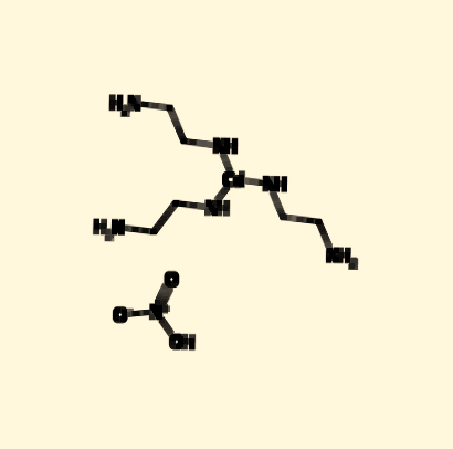 NCC[NH][Cd]([NH]CCN)[NH]CCN.O=[N+]([O-])O